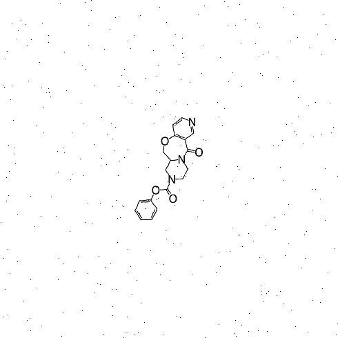 O=C(Oc1ccccc1)N1CCN2C(=O)c3cnccc3OCC2C1